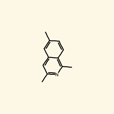 Cc1ccc2c(C)nc(C)cc2c1